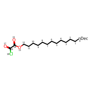 CCCCCCCCCCCCCCCCCCCCCCOC(=O)C(=O)Cl